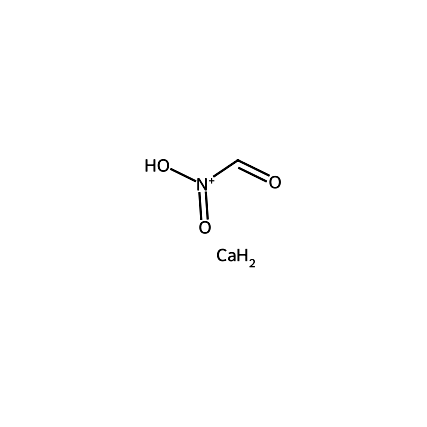 O=C[N+](=O)O.[CaH2]